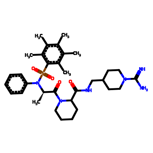 Cc1c(C)c(C)c(S(=O)(=O)N(c2ccccc2)[C@@H](C)C(=O)N2CCCCC2C(=O)NCC2CCN(C(=N)N)CC2)c(C)c1C